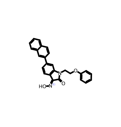 O=C1/C(=N/O)c2ccc(-c3ccc4ccccc4c3)cc2N1CCOc1ccccc1